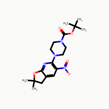 CC(C)(C)OC(=O)N1CCN(c2nc3c(cc2[N+](=O)[O-])CC(C)(C)O3)CC1